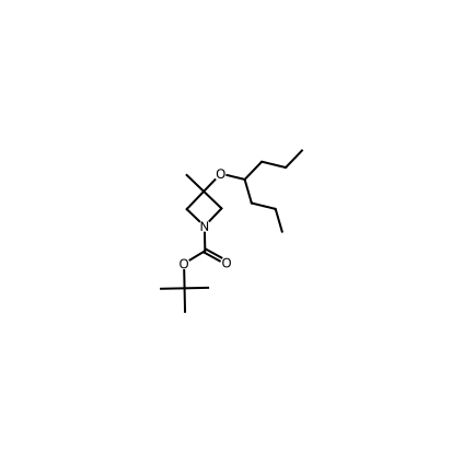 CCCC(CCC)OC1(C)CN(C(=O)OC(C)(C)C)C1